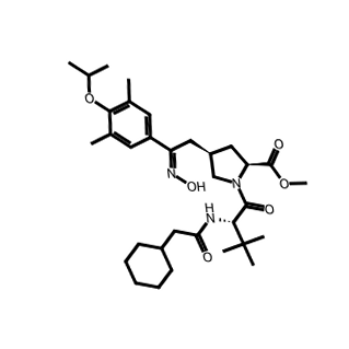 COC(=O)[C@@H]1C[C@H](C/C(=N\O)c2cc(C)c(OC(C)C)c(C)c2)CN1C(=O)[C@@H](NC(=O)CC1CCCCC1)C(C)(C)C